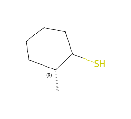 C[C@@H]1CCCCC1S